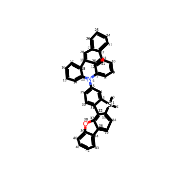 C[Si]1(C)c2cc(N(c3ccccc3)c3ccccc3-c3ccc4ccccc4c3)ccc2-c2c1ccc1c2oc2ccccc21